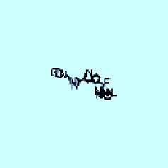 Cc1ccc2nnc(C(F)c3ccc4ncc(-c5cnn(CCN6CCOCC6)c5)cc4c3)n2n1